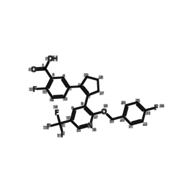 O=C(O)c1cc(C2=C(c3cc(C(F)(F)F)cnc3OCc3ccc(F)cc3)CCC2)ccc1F